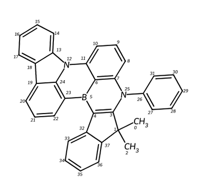 CC1(C)C2=C(B3c4c(cccc4-n4c5ccccc5c5cccc3c54)N2c2ccccc2)c2ccccc21